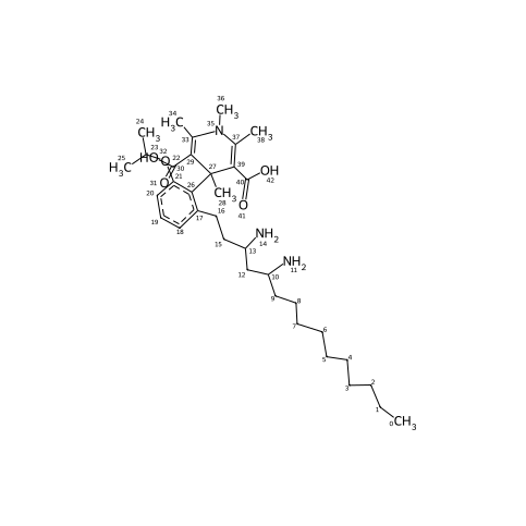 CCCCCCCCCCC(N)CC(N)CCc1cccc(OC(C)C)c1C1(C)C(C(=O)O)=C(C)N(C)C(C)=C1C(=O)O